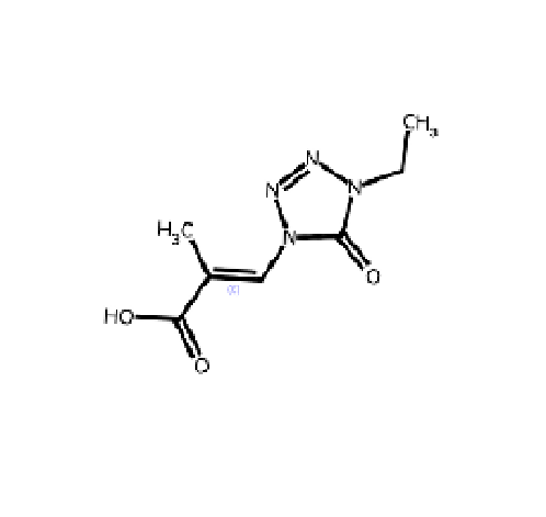 CCn1nnn(/C=C(\C)C(=O)O)c1=O